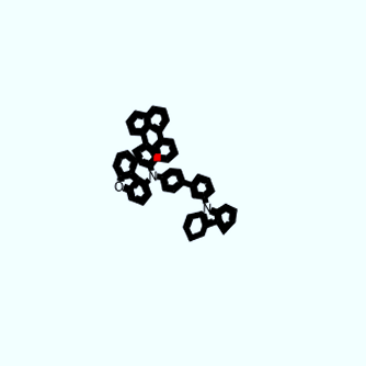 C1=Cc2c(c3ccccc3n2-c2cccc(-c3ccc(N(c4ccc(-c5cccc6cccc(-c7ccccc7)c56)cc4)c4cccc5oc6ccccc6c45)cc3)c2)CC1